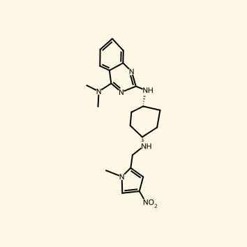 CN(C)c1nc(N[C@H]2CC[C@@H](NCc3cc([N+](=O)[O-])cn3C)CC2)nc2ccccc12